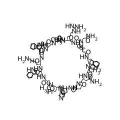 CCCC[C@H]1C(=O)N(C)[C@@H](CCCC)C(=O)N[C@@H](CCCNC(=N)N)C(=O)N[C@H](C(=O)NCC(N)=O)CSCC(=O)N[C@@H](Cc2ccccc2)C(=O)N(C)[C@@H](C)C(=O)N[C@@H](CC(N)=O)C(=O)N2CCC[C@H]2C(=O)N[C@@H](Cc2cnc[nH]2)C(=O)N[C@@H](CC(C)C)C(=O)N(C)CC(=O)N[C@@H](Cc2c[nH]c3ccccc23)C(=O)N[C@@H](CCCCN)C(O)N[C@@H](Cc2c[nH]c3ccccc23)C(=O)N1C